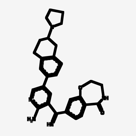 N=C(c1ccc2c(c1)OCCNC2=O)c1cc(-c2ccc3c(c2)CCC(N2CCCC2)C3)cnc1N